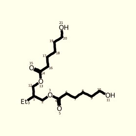 CCC(COC(=O)CCCCCO)COC(=O)CCCCCO